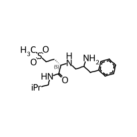 CC(C)CNC(=O)[C@H](CCS(C)(=O)=O)NCC(N)Cc1ccccc1